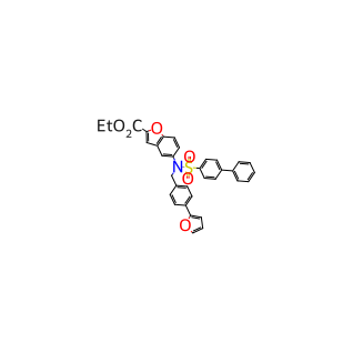 CCOC(=O)c1cc2cc(N(Cc3ccc(-c4ccco4)cc3)S(=O)(=O)c3ccc(-c4ccccc4)cc3)ccc2o1